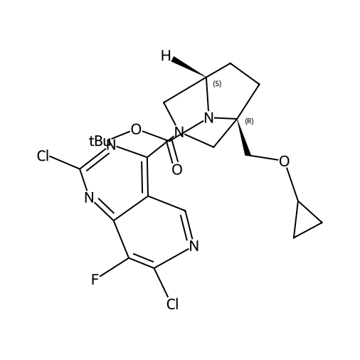 CC(C)(C)OC(=O)N1[C@H]2CC[C@]1(COC1CC1)CN(c1nc(Cl)nc3c(F)c(Cl)ncc13)C2